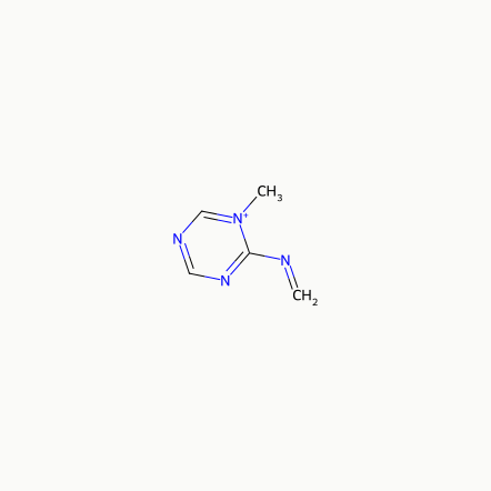 C=Nc1ncnc[n+]1C